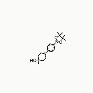 CC1(O)CCN(c2ccc(B3OC(C)(C)C(C)(C)O3)cc2)CC1